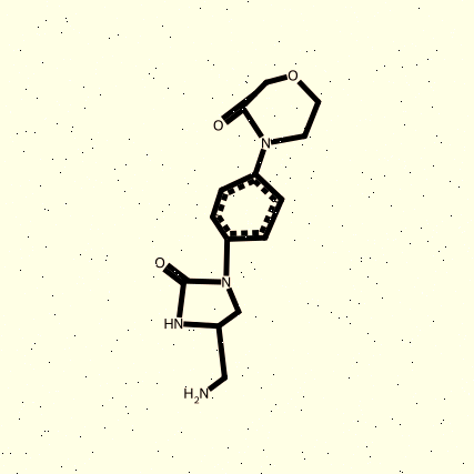 NCC1CN(c2ccc(N3CCOCC3=O)cc2)C(=O)N1